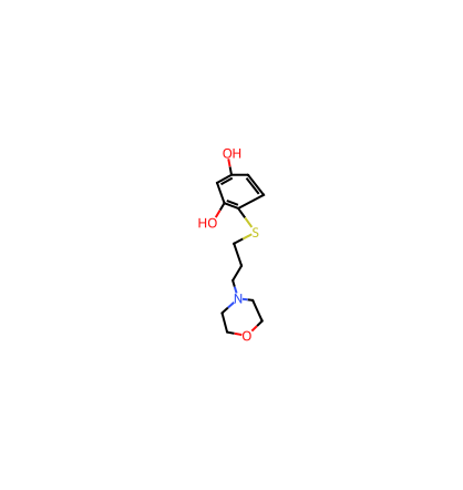 Oc1ccc(SCCCN2CCOCC2)c(O)c1